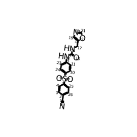 N#Cc1ccc(S(=O)(=O)c2ccc(NC(=O)NCc3cnco3)cc2)cc1